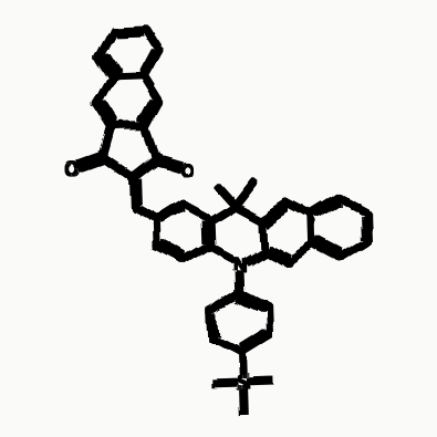 CC1(C)c2cc(C=C3C(=O)c4cc5ccccc5cc4C3=O)ccc2N(c2ccc([Si](C)(C)C)cc2)c2cc3ccccc3cc21